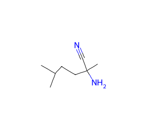 CC(C)CCC(C)(N)C#N